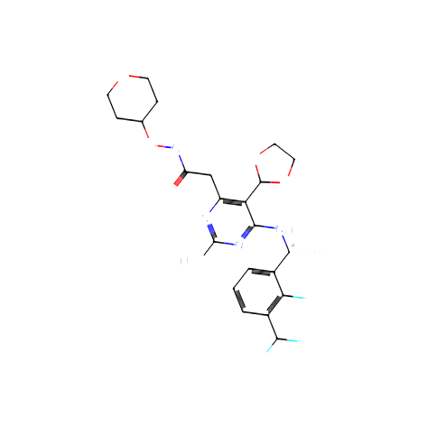 Cc1nc(CC(=O)NOC2CCOCC2)c(C2OCCO2)c(N[C@H](C)c2cccc(C(F)F)c2F)n1